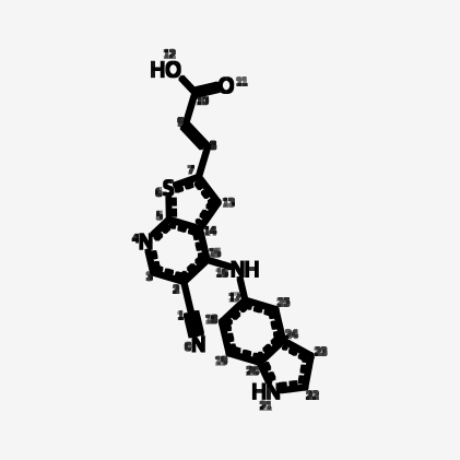 N#Cc1cnc2sc(/C=C/C(=O)O)cc2c1Nc1ccc2[nH]ccc2c1